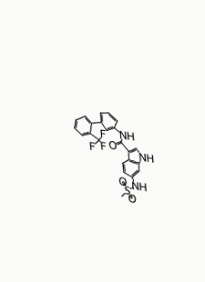 CS(=O)(=O)Nc1ccc2c(C(=O)Nc3cccc(-c4ccccc4C(F)(F)F)c3)c[nH]c2c1